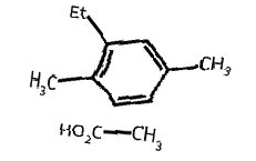 CC(=O)O.CCc1cc(C)ccc1C